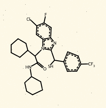 O=C(NC1CCCCC1)C(C1CCCCC1)n1c(C(S)c2ccc(C(F)(F)F)cc2)nc2cc(F)c(Cl)cc21